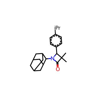 CC(C)c1ccc(C2N(C3C4CC5CC(C4)CC3C5)C(=O)C2(C)C)cc1